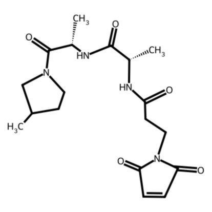 CC1CCN(C(=O)[C@H](C)NC(=O)[C@H](C)NC(=O)CCN2C(=O)C=CC2=O)C1